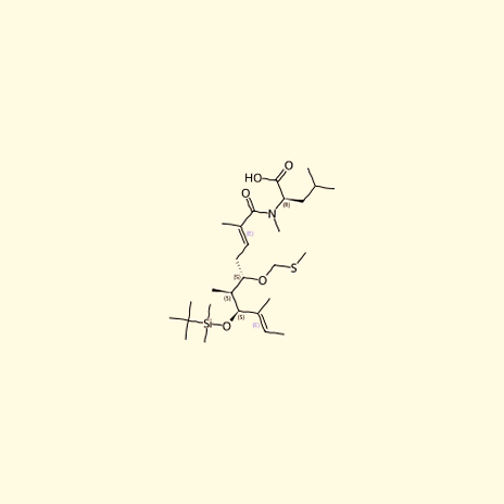 C/C=C(\C)[C@@H](O[Si](C)(C)C(C)(C)C)[C@@H](C)[C@H](C/C=C(\C)C(=O)N(C)[C@H](CC(C)C)C(=O)O)OCSC